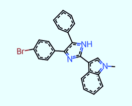 Cn1cc(-c2nc(-c3ccc(Br)cc3)c(-c3ccccc3)[nH]2)c2ccccc21